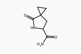 NC(=O)C1CC2(CC2)C(=O)N1